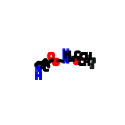 CC(C)(C)OCCNCCOC(=O)c1ccc2[nH]ccc2c1